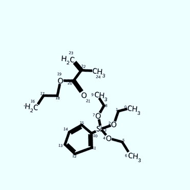 CCO[Si](OCC)(OCC)c1ccccc1.[CH2]CCOC(=O)C(=C)C